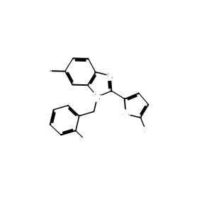 Cc1ccc(-c2nc3ccc(Cl)cc3n2Cc2ccccc2Cl)o1